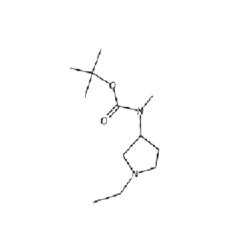 CCN1CCC(N(C)C(=O)OC(C)(C)C)C1